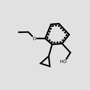 CCOc1cccc([CH]O)c1C1CC1